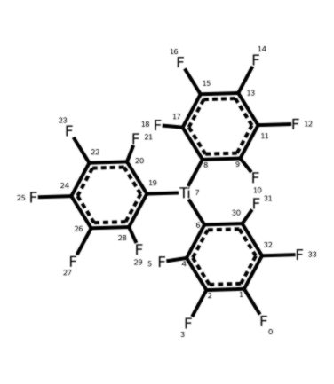 Fc1c(F)c(F)[c]([Ti]([c]2c(F)c(F)c(F)c(F)c2F)[c]2c(F)c(F)c(F)c(F)c2F)c(F)c1F